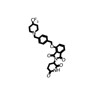 O=C1CCC(N2C(=O)c3cccc(OCc4ccc(CN5CCC(C(F)(F)F)CC5)cc4)c3C2=O)C(=O)N1